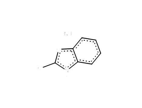 Clc1nc2ccccc2o1.N